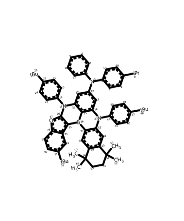 CC(C)c1ccc(N(c2ccccc2)c2cc3c4c(c2)N(c2ccc(C(C)(C)C)cc2)c2oc5ccc(C(C)(C)C)cc5c2B4c2cc4c(cc2N3c2ccc(C(C)(C)C)cc2)C(C)(C)CCC4(C)C)cc1